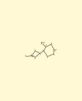 CN1CC(C2CCOCC2F)C1